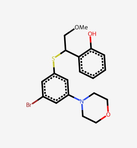 COCC(Sc1cc(Br)cc(N2CCOCC2)c1)c1ccccc1O